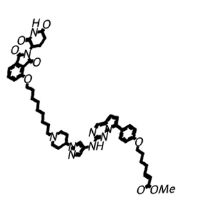 COC(=O)C=CCCCCOc1ccc(-c2ccc3cnc(Nc4cnn(C5CCN(CCCCCCCCCOc6cccc7c6C(=O)N(C6CCC(=O)NC6=O)C7=O)CC5)c4)nn23)cc1